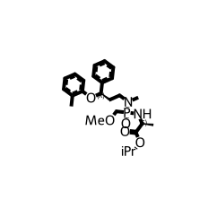 COCP(=O)(N[C@@H](C)C(=O)OC(C)C)N(C)CC[C@@H](Oc1ccccc1C)c1ccccc1